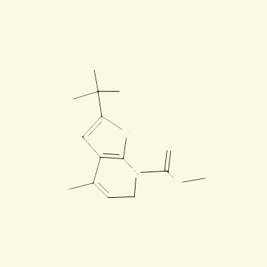 COC(=O)N1CC=C(Cl)c2cc(C(C)(C)C)oc21